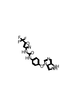 O=C(Nc1ccc(ON2C=NC=C3NNC=C32)cc1)Nc1cc(C(F)(F)F)on1